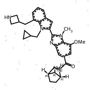 COc1cc(C(=O)N2C[C@H]3CC[C@@H]2[C@@H]3N)cc2nc(-c3cc4cccc(CC5CNC5)c4n3CC3CC3)n(C)c12